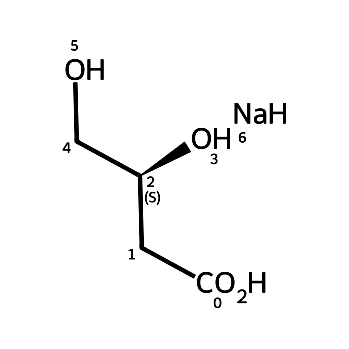 O=C(O)C[C@H](O)CO.[NaH]